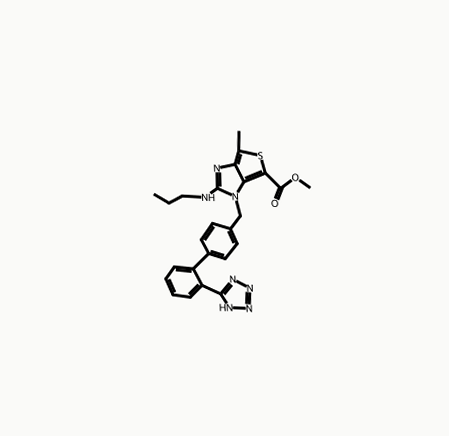 CCCNc1nc2c(C)sc(C(=O)OC)c2n1Cc1ccc(-c2ccccc2-c2nnn[nH]2)cc1